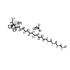 CCCCCCCCCCCCCCCCCCCCCC(=O)C(O)(Cl)CC.CN(C)C